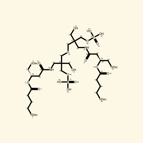 CCCCCCCCCCCCCC(=O)O[C@H](CCCCCCCCCCC)CC(=O)NCC(CO)(COCC(CO)(CNC(=O)C[C@@H](CCCCCCCCCCC)OC(=O)CCCCCCCCCCCCC)COP(=O)(O)O)COP(=O)(O)O